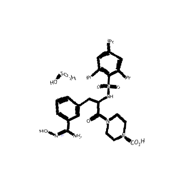 CC(C)c1cc(C(C)C)c(S(=O)(=O)NC(Cc2cccc(/C(N)=N\O)c2)C(=O)N2CCN(C(=O)O)CC2)c(C(C)C)c1.O=S(=O)(O)O